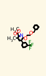 COC(=O)c1nc(OCCOCc2ccccc2)c(-c2cccc(C(F)(F)F)c2)cc1C